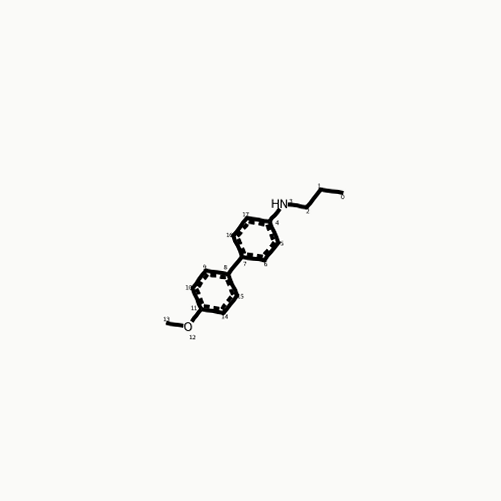 CCCNc1ccc(-c2ccc(OC)cc2)cc1